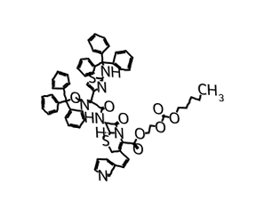 CCCCCOC(=O)OCCOC(=O)C1=C(/C=C\c2cccnc2)CS[C@H]2[C@H](NC(=O)C(=NOC(c3ccccc3)(c3ccccc3)c3ccccc3)c3csc(NC(c4ccccc4)(c4ccccc4)c4ccccc4)n3)C(=O)N12